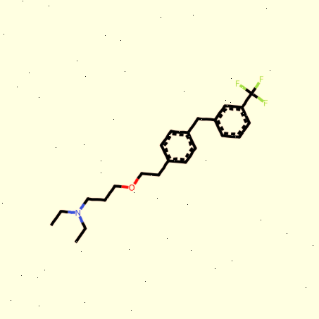 CCN(CC)CCCOCCc1ccc(Cc2cccc(C(F)(F)F)c2)cc1